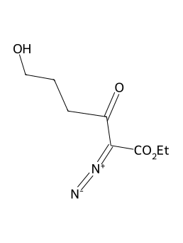 CCOC(=O)C(=[N+]=[N-])C(=O)CCCO